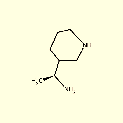 C[C@H](N)C1CCCNC1